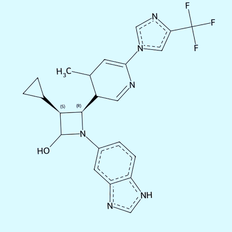 CC1C=C(n2cnc(C(F)(F)F)c2)N=CC1[C@@H]1[C@H](C2CC2)C(O)N1c1ccc2[nH]cnc2c1